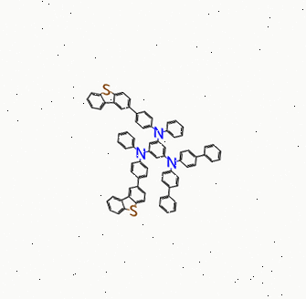 c1ccc(-c2ccc(N(c3ccc(-c4ccccc4)cc3)c3cc(N(c4ccccc4)c4ccc(-c5ccc6sc7ccccc7c6c5)cc4)cc(N(c4ccccc4)c4ccc(-c5ccc6sc7ccccc7c6c5)cc4)c3)cc2)cc1